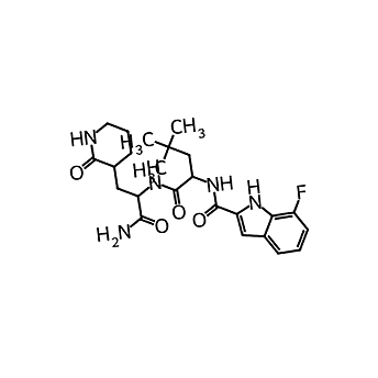 CC(C)(C)CC(NC(=O)c1cc2cccc(F)c2[nH]1)C(=O)NC(CC1CCCNC1=O)C(N)=O